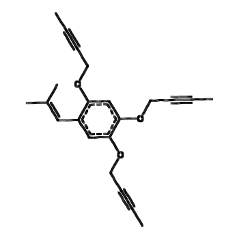 CC#CCOc1cc(OCC#CC)c(OCC#CC)cc1C=C(C)C